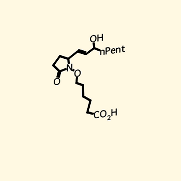 CCCCCC(O)C=CC1CCC(=O)N1OCCCCCC(=O)O